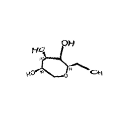 OC[C@H]1OC[C@@H](O)[C@@H](O)[C]1O